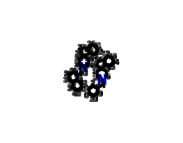 c1ccc(CN2CCC3(CCc4ccccc43)CC2)cc1.c1ccc2c(c1)CCC21CCN(Cc2cccc3ccccc23)CC1